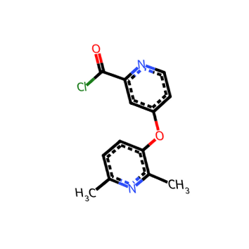 Cc1ccc(Oc2ccnc(C(=O)Cl)c2)c(C)n1